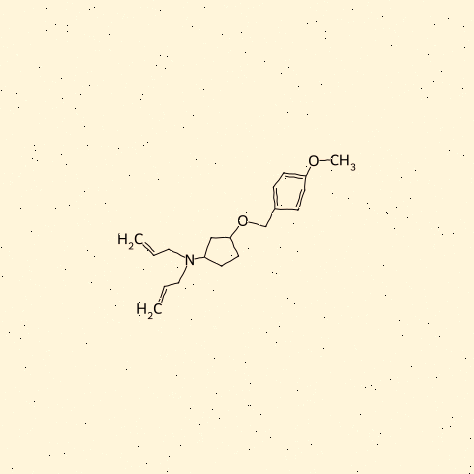 C=CCN(CC=C)C1CCC(OCc2ccc(OC)cc2)C1